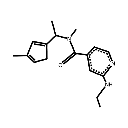 CCNc1cc(C(=O)N(C)C(C)C2=CC(C)=CC2)ccn1